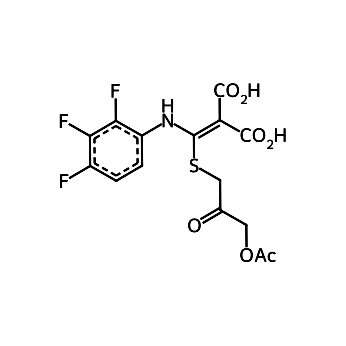 CC(=O)OCC(=O)CSC(Nc1ccc(F)c(F)c1F)=C(C(=O)O)C(=O)O